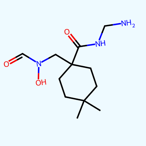 CC1(C)CCC(CN(O)C=O)(C(=O)NCN)CC1